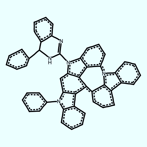 c1ccc(C2NC(n3c4cc5c(c6ccccc6n5-c5ccccc5)c5c6cccc7c8ccccc8n(c8cccc3c8c54)c76)=Nc3ccccc32)cc1